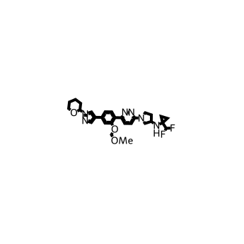 COCOc1cc(-c2cnn(C3CCCCO3)c2)ccc1-c1ccc(N2CCC(NC3(C(F)F)CC3)C2)nn1